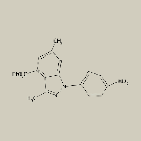 CCOC(=O)c1cc(C)nc2c1c(C)nn2-c1ccc([N+](=O)[O-])cc1